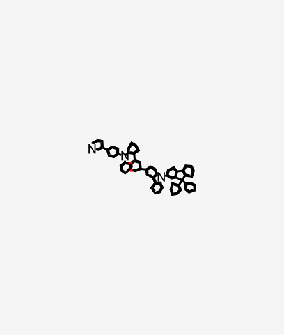 c1ccc(N(c2ccc(-c3cccnc3)cc2)c2ccccc2-c2cccc(-c3ccc4c(c3)c3ccccc3n4-c3ccc4c(c3)C(c3ccccc3)(c3ccccc3)c3ccccc3-4)c2)cc1